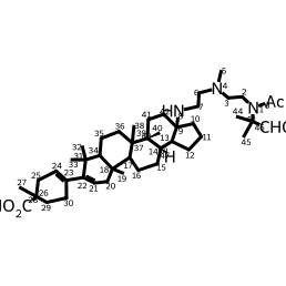 CC(=O)N(CCN(C)CCNC12CCCC1[C@H]1CCC3C4(C)CC=C(C5=CCC(C)(C(=O)O)CC5)C(C)(C)C4CCC3(C)[C@]1(C)CC2)C(C)(C)C=O